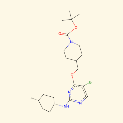 CC(C)(C)OC(=O)N1CCC(COc2nc(N[C@H]3CC[C@@H](C)CC3)ncc2Br)CC1